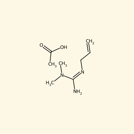 C=CCN=C(N)N(C)C.CC(=O)O